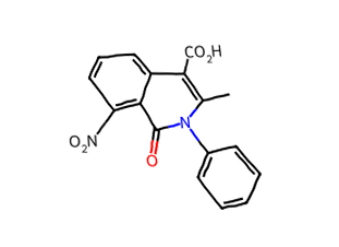 Cc1c(C(=O)O)c2cccc([N+](=O)[O-])c2c(=O)n1-c1ccccc1